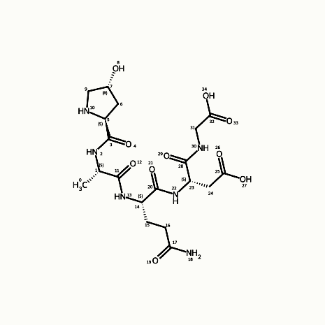 C[C@H](NC(=O)[C@@H]1C[C@@H](O)CN1)C(=O)N[C@@H](CCC(N)=O)C(=O)N[C@@H](CC(=O)O)C(=O)NCC(=O)O